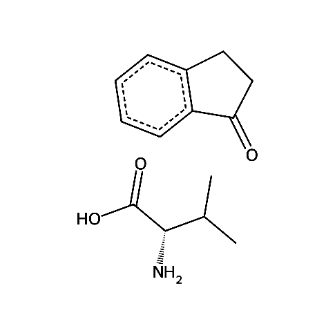 CC(C)[C@H](N)C(=O)O.O=C1CCc2ccccc21